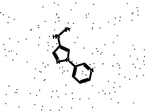 CC(C)Nc1cnn(-c2cccnc2)c1